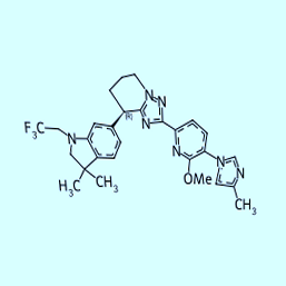 COc1nc(-c2nc3n(n2)CCC[C@@H]3c2ccc3c(c2)N(CC(F)(F)F)CC3(C)C)ccc1-n1cnc(C)c1